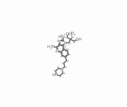 CCCCc1nc2c(N)nc3cc(CCCN4CCNCC4)ccc3c2n1CC(C)(CO)CO